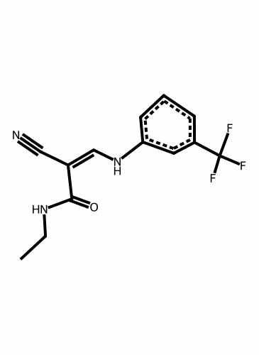 CCNC(=O)/C(C#N)=C\Nc1cccc(C(F)(F)F)c1